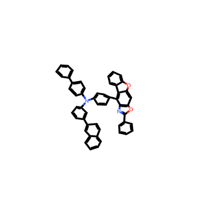 c1ccc(-c2ccc(N(c3ccc(-c4c5nc(-c6ccccc6)oc5cc5oc6ccccc6c45)cc3)c3cccc(-c4ccc5ccccc5c4)c3)cc2)cc1